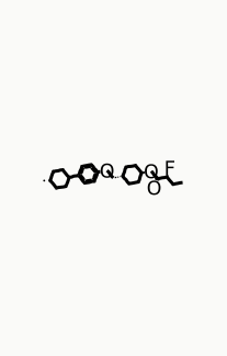 CC[C@H](F)C(=O)O[C@H]1CC[C@H](COc2ccc(C3CC[CH]CC3)cc2)CC1